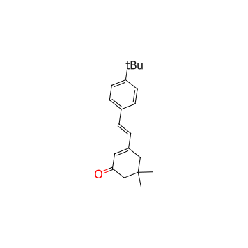 CC1(C)CC(=O)C=C(/C=C/c2ccc(C(C)(C)C)cc2)C1